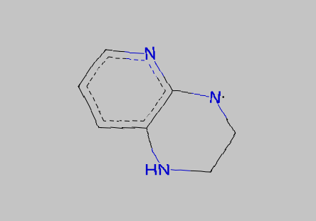 c1cnc2c(c1)NCC[N]2